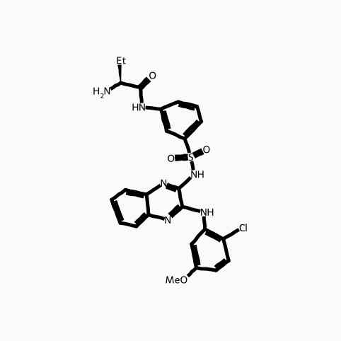 CC[C@H](N)C(=O)Nc1cccc(S(=O)(=O)Nc2nc3ccccc3nc2Nc2cc(OC)ccc2Cl)c1